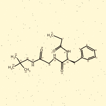 CCC(=O)N[C@@H](Cc1ccccc1)C(=O)NCC(=O)NCC(C)(C)C